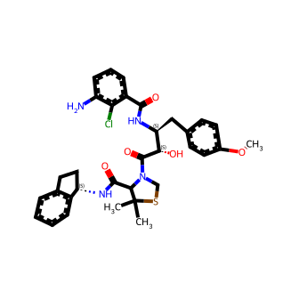 COc1ccc(C[C@H](NC(=O)c2cccc(N)c2Cl)[C@H](O)C(=O)N2CSC(C)(C)C2C(=O)N[C@H]2CCc3ccccc32)cc1